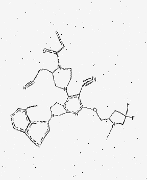 C=CC(=O)N1CCN(c2c(C#N)c(OCC3CC(F)(F)CN3C)nc3c2CCN(c2cccc4cccc(C)c24)C3)CC1CC#N